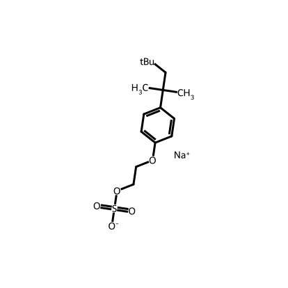 CC(C)(C)CC(C)(C)c1ccc(OCCOS(=O)(=O)[O-])cc1.[Na+]